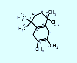 CC1=C(C)CC2=C(C1)C(C)(C)CCC2(C)C